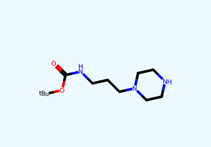 CC(C)(C)OC(=O)NCCCN1CCNCC1